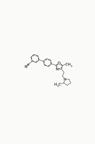 Cc1oc(-c2ccc(-c3cccc(C#N)c3)cc2)nc1CCN1CCCC1C